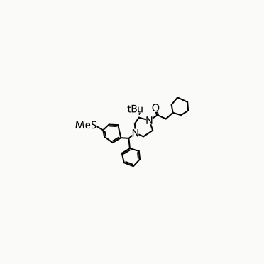 CSc1ccc(C(c2ccccc2)N2CCN(C(=O)CC3CCCCC3)[C@@H](C(C)(C)C)C2)cc1